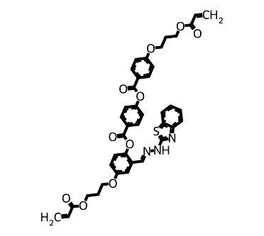 C=CC(=O)OCCCOc1ccc(C(=O)Oc2ccc(C(=O)Oc3ccc(OCCCOC(=O)C=C)cc3/C=N/Nc3nc4ccccc4s3)cc2)cc1